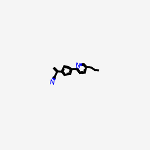 C=C(C#N)c1ccc(-c2ccc(CCC)cn2)cc1